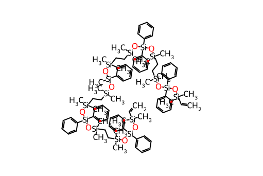 C=C[Si](C)(C)O[Si](O[Si](C)(C)CC[Si](C)(C)O[Si](O[Si](C)(C)CC[Si](C)(C)O[Si](C)(O[Si](C)(C)CC[Si](C)(C)O[Si](O[Si](C)(C)CC[Si](C)(C)O[Si](O[Si](C)(C)C=C)(c1ccccc1)c1ccccc1)(c1ccccc1)c1ccccc1)c1ccccc1)(c1ccccc1)c1ccccc1)(c1ccccc1)c1ccccc1